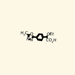 CCOC(C(=O)O)c1ccc(-c2nnc(C)o2)cc1